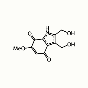 COC1=CC(=O)c2c([nH]c(CO)c2CO)C1=O